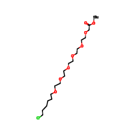 CC(C)(C)OC(=O)COCCOCCOCCOCCOCCOCCCCCCCl